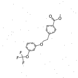 COC(=O)c1ccc(CCOc2cccc(OC(F)(F)F)c2)cc1